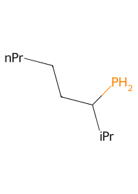 CCCCCC(P)C(C)C